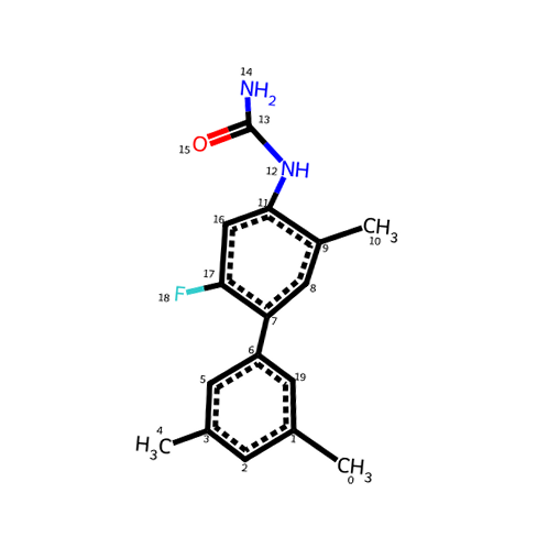 Cc1cc(C)cc(-c2cc(C)c(NC(N)=O)cc2F)c1